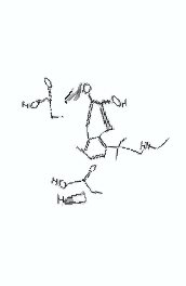 CCC(=O)O.CCC(=O)O.CCNCC(C)(C)c1cccc2cc(O)c(O)cc12.Cl